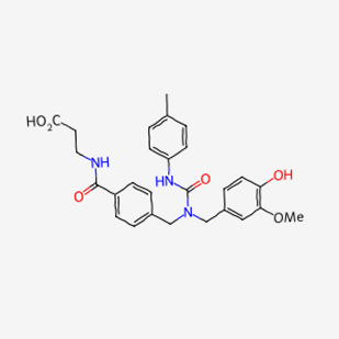 COc1cc(CN(Cc2ccc(C(=O)NCCC(=O)O)cc2)C(=O)Nc2ccc(C)cc2)ccc1O